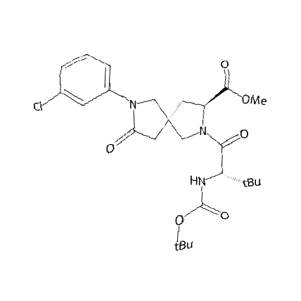 COC(=O)[C@@H]1C[C@@]2(CC(=O)N(c3cccc(Cl)c3)C2)CN1C(=O)[C@@H](NC(=O)OC(C)(C)C)C(C)(C)C